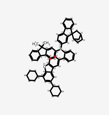 CC1(C)c2ccccc2-c2ccc(N(c3ccc4c(c3)C3(CC5CCC3C5)c3ccccc3-4)c3ccccc3-c3ccc4oc5c(C6CCCCC6)cc(C6CCCCC6)cc5c4c3)cc21